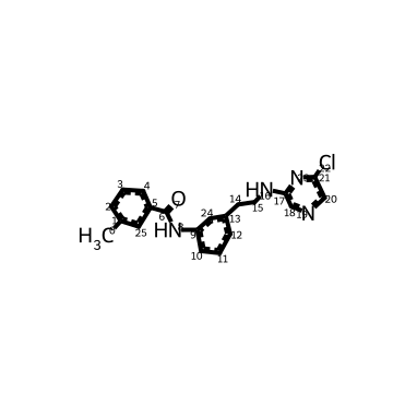 Cc1cccc(C(=O)Nc2cccc(CCNc3cncc(Cl)n3)c2)c1